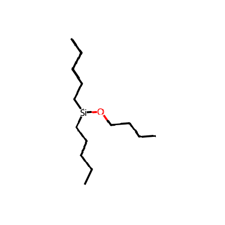 CCCCC[Si](CCCCC)OCCCC